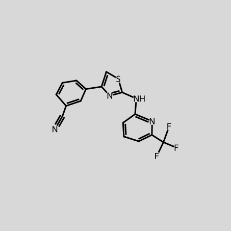 N#Cc1cccc(-c2csc(Nc3cccc(C(F)(F)F)n3)n2)c1